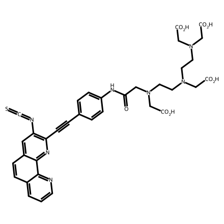 O=C(O)CN(CCN(CC(=O)O)CC(=O)O)CCN(CC(=O)O)CC(=O)Nc1ccc(C#Cc2nc3c(ccc4cccnc43)cc2N=C=S)cc1